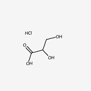 Cl.O=C(O)C(O)CO